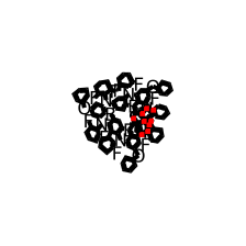 Fc1cccc(F)c1N1c2cc3c(cc2B2c4sc5ccccc5c4N(c4c(F)cccc4F)c4cc(Oc5ccccc5)cc1c42)B1c2cc4c5c(c2N(c2c(F)cccc2F)c2cc(Oc6ccccc6)cc(c21)N3c1c(F)cccc1F)c1cccc(F)c1n5-c1cc(Oc2ccccc2)cc2c1B4c1sc3ccccc3c1N2c1c(F)cccc1F